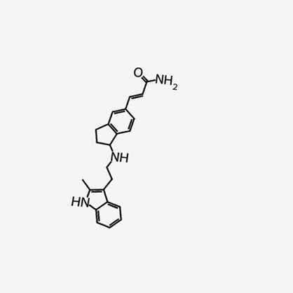 Cc1[nH]c2ccccc2c1CCNC1CCc2cc(/C=C/C(N)=O)ccc21